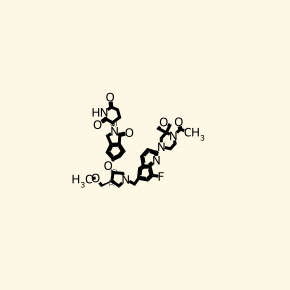 COC[C@@H]1CN(Cc2cc(F)c3nc(N4CCN(C(C)=O)C5(COC5)C4)ccc3c2)C[C@H]1Oc1ccc2c(c1)CN([C@H]1CCC(=O)NC1=O)C2=O